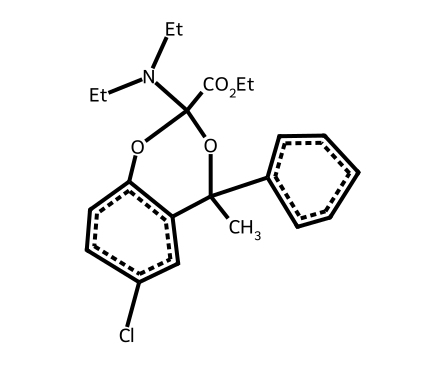 CCOC(=O)C1(N(CC)CC)Oc2ccc(Cl)cc2C(C)(c2ccccc2)O1